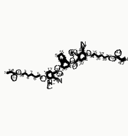 [C-]#[N+]c1c(OCCCCCCOC(=O)C=C)ccc(C(=O)Oc2ccc(OC(=O)c3ccc(OCCCCCCOC(=O)C=C)c(C#N)c3[N+]#[C-])c3c2C2CCC3C2)c1C#N